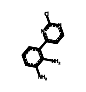 Nc1cccc(-c2ccnc(Cl)n2)c1N